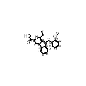 CCc1nc(C(=O)O)cc2c3ccccc3n(Cc3ccccc3OC)c12